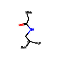 CN[C@@H](CNC(=O)CNC(C)=O)C(=O)O